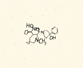 CN1CC2(CC2)CC(C(=O)NO)C1C(=O)N1CCC(O)(c2ccccc2)CC1